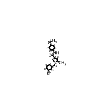 COc1ccc(NC(=O)c2cc(C)n(Cc3cccc(Br)c3)n2)cc1